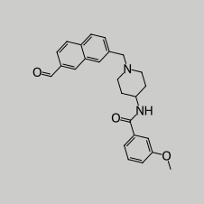 COc1cccc(C(=O)NC2CCN(Cc3ccc4ccc(C=O)cc4c3)CC2)c1